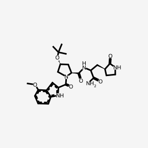 COc1cccc2[nH]c(C(=O)N3C[C@H](OC(C)(C)C)C[C@H]3C(=O)NC(C[C@@H]3CCNC3=O)C(N)=O)cc12